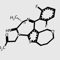 CCOC(=O)C(=O)CN1C(=N)[C@H](C)N=C(c2c(F)cccc2F)c2c1sc1c2COCCC1